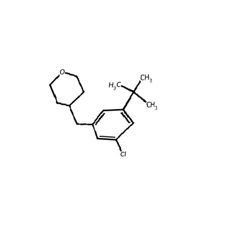 CC(C)(C)c1cc(Cl)cc(CC2CCOCC2)c1